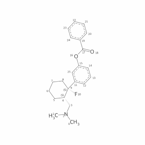 CN(C)C[C@@H]1CCCC[C@@]1(F)c1cccc(OC(=O)c2ccccc2)c1